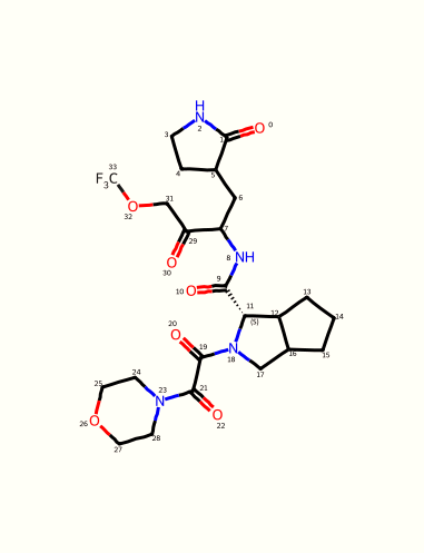 O=C1NCCC1CC(NC(=O)[C@@H]1C2CCCC2CN1C(=O)C(=O)N1CCOCC1)C(=O)COC(F)(F)F